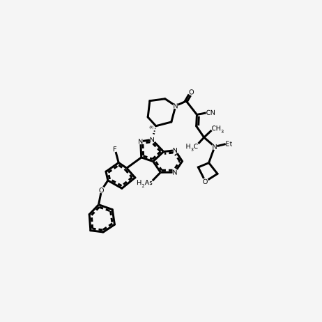 CCN(C1COC1)C(C)(C)C=C(C#N)C(=O)N1CCC[C@@H](n2nc(-c3ccc(Oc4ccccc4)cc3F)c3c([AsH2])ncnc32)C1